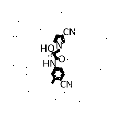 Cc1cc(NC(=O)[C@@](C)(O)Cn2ccc(C#N)c2)ccc1C#N